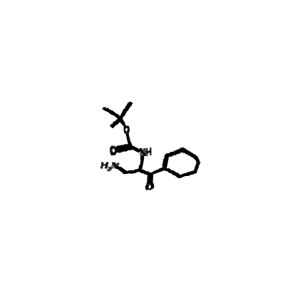 CC(C)(C)OC(=O)NC(CN)C(=O)C1CCCCC1